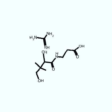 CC(C)(CO)C(O)C(=O)NCCC(=O)O.N=C(N)N